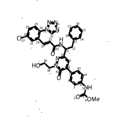 COC(=O)Nc1ccc(-c2cc(C(Cc3ccccc3)NC(=O)C=Cc3cc(Cl)ccc3-n3cnnn3)nn(CCO)c2=O)cc1